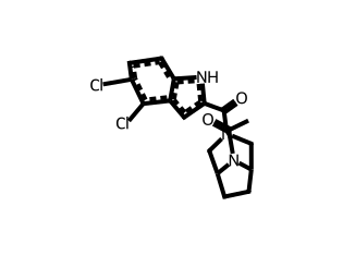 CC(=O)N1C2CCC1CN(C(=O)c1cc3c(Cl)c(Cl)ccc3[nH]1)C2